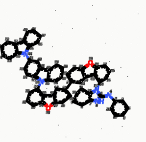 c1ccc(/N=c2\[nH]c3ccccc3n2-c2cccc3oc4ccc(-c5ccc6oc7cccc(-n8c9ccccc9c9cc(-n%10c%11ccccc%11c%11ccccc%11%10)ccc98)c7c6c5)cc4c23)cc1